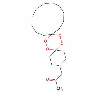 CC(=O)CC1CCC2(CC1)OOC1(CCCCCCCCCCC1)OO2